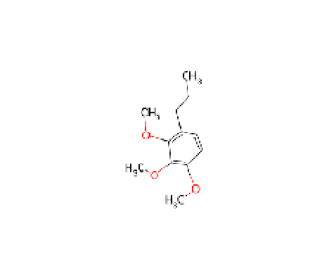 CCCc1ccc(OC)c(OC)c1OC